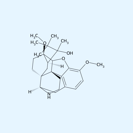 COc1ccc2c3c1OC1[C@@]4(OC)CC[C@@]5(C[C@@H]4C(C)(O)C(C)(C)C)[C@@H](C2)NCC[C@]315